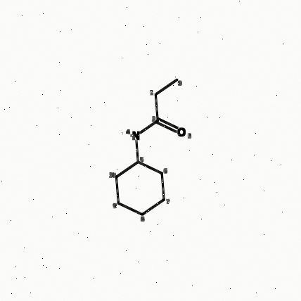 CCC(=O)[N]C1CCCCC1